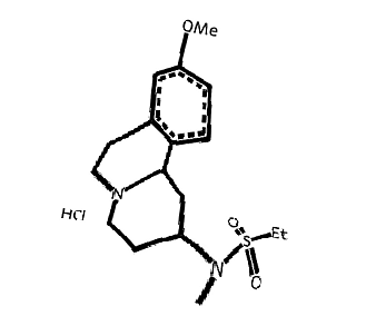 CCS(=O)(=O)N(C)C1CCN2CCc3cc(OC)ccc3C2C1.Cl